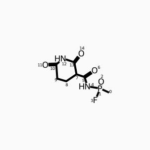 CP(=O)(F)NC(=O)C1CCC(=O)NC1=O